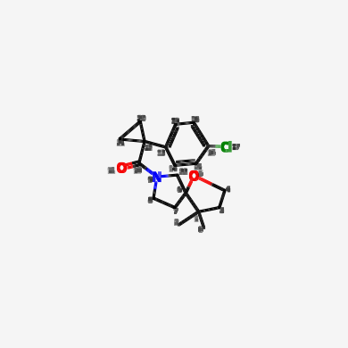 CC1(C)CCOC12CCN(C(=O)C1(c3ccc(Cl)cc3)CC1)C2